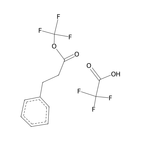 O=C(CCc1ccccc1)OC(F)(F)F.O=C(O)C(F)(F)F